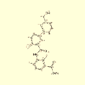 COC(=O)c1ccc(C)c(NC(=O)c2nc(-c3cccc(CO)c3)ccc2C(F)(F)F)c1C